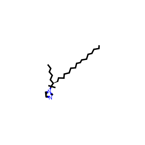 CCCCCCCCCCCCCCCC[C@H](CCCCC)C(C)(C)n1ccnc1